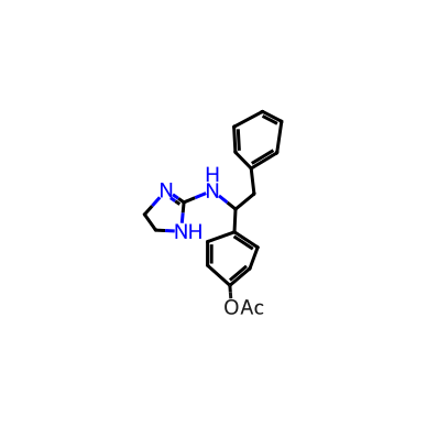 CC(=O)Oc1ccc(C(Cc2ccccc2)NC2=NCCN2)cc1